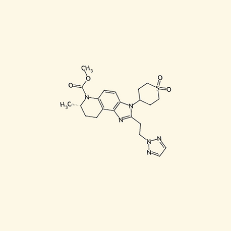 COC(=O)N1c2ccc3c(nc(CCn4nccn4)n3C3CCS(=O)(=O)CC3)c2CC[C@@H]1C